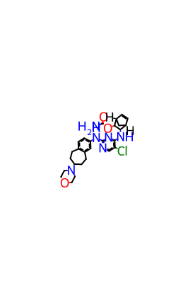 NC(=O)O[C@@H]1[C@H](Nc2nc(Nc3ccc4c(c3)CCC(N3CCOCC3)CC4)ncc2Cl)[C@H]2C=C[C@@H]1C2